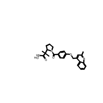 Cc1cc(COc2ccc(C(=O)N3CCCC3C(C)(C)C(=O)NO)cc2)c2ccccc2n1